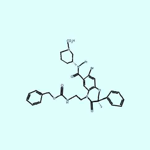 CC(C)N(C(=O)c1cc2c(cc1Br)O[C@@](C)(c1ccccc1)C(=O)N2CCNC(=O)OCc1ccccc1)[C@@H]1CCCN(C(=O)O)C1